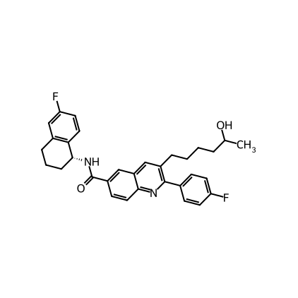 CC(O)CCCCc1cc2cc(C(=O)N[C@@H]3CCCc4cc(F)ccc43)ccc2nc1-c1ccc(F)cc1